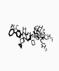 Cc1cc(Nc2ncc(Cl)c(Nc3cn(C)nc3S(=O)(=O)C(C)C)n2)c(OC2CC2)cc1C1CCCCC1